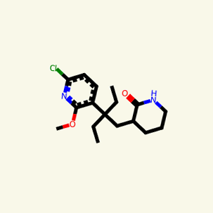 CCC(CC)(CC1CCCNC1=O)c1ccc(Cl)nc1OC